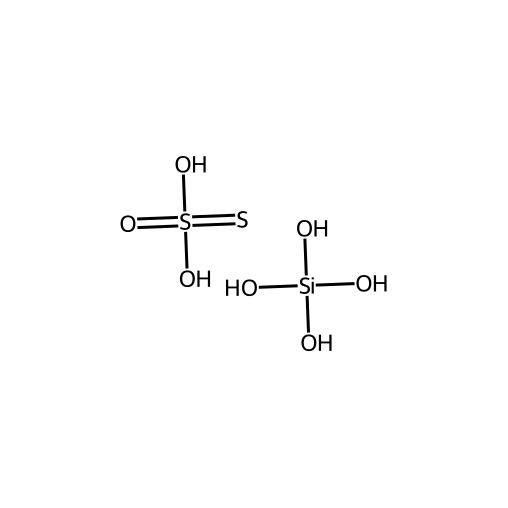 O=S(O)(O)=S.O[Si](O)(O)O